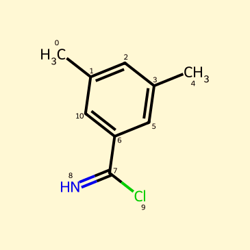 Cc1cc(C)cc(C(=N)Cl)c1